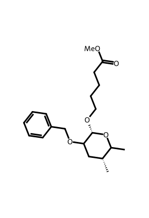 COC(=O)CCCCO[C@@H]1OC(C)[C@H](C)CC1OCc1ccccc1